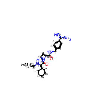 N=C(N)c1ccc(CNC(=O)[C@@H]2CCN2C(=O)[C@@H](NCC(=O)O)C2CCCCC2)cc1